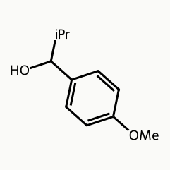 [CH2]C(C)C(O)c1ccc(OC)cc1